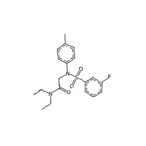 CCN(CC)C(=O)CN(c1ccc(C)cc1)S(=O)(=O)c1cccc(F)c1